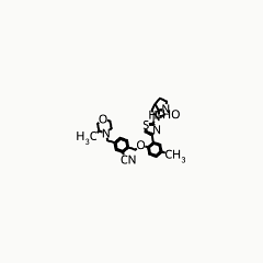 Cc1ccc(OCc2ccc(CN3CCOCC3C)cc2C#N)c(-c2csc(N3CC4CCN(C3)[C@H]4C=O)n2)c1